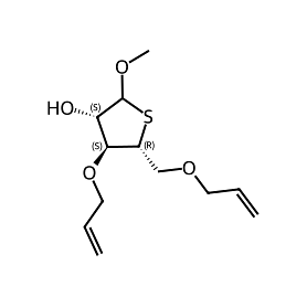 C=CCOC[C@H]1SC(OC)[C@@H](O)[C@@H]1OCC=C